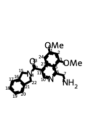 COc1cc(OC)c2c(CN)ncc(C(=O)N3Cc4ccccc4C3)c2c1